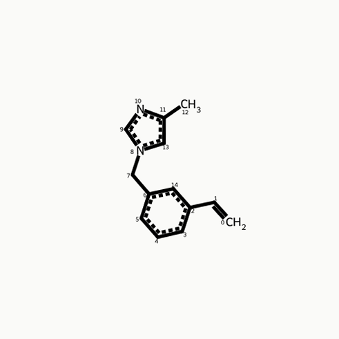 C=Cc1cccc(Cn2cnc(C)c2)c1